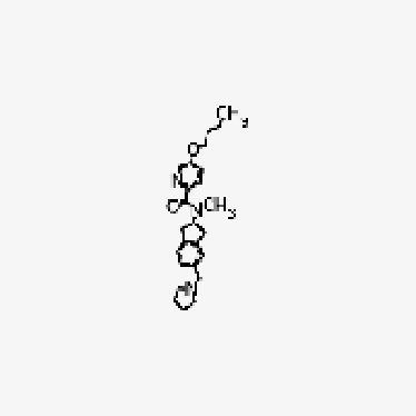 CCCCOc1ccc(C(=O)N(C)[C@@H]2Cc3ccc(CN4CCCC4)cc3C2)nc1